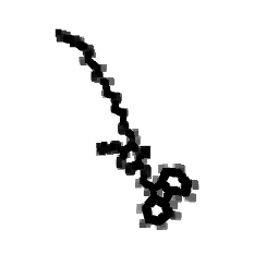 COC(=O)[C@H](COCCOCCOCCN=[N+]=[N-])NC(=O)OCC1c2ccccc2-c2ccccc21